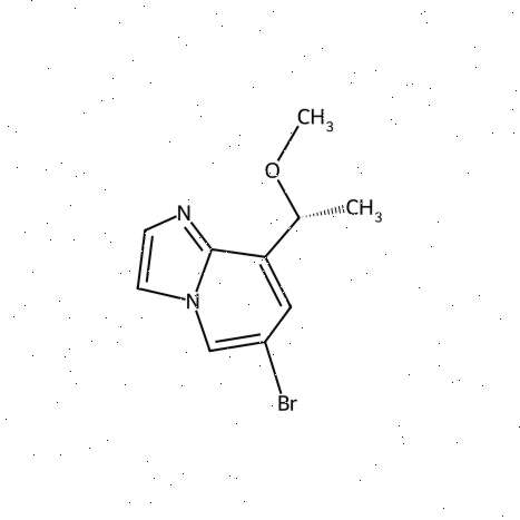 CO[C@H](C)c1cc(Br)cn2ccnc12